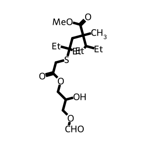 CCC(CC)C(C)(CC(CC)(CC)SCC(=O)OCC(O)COC=O)C(=O)OC